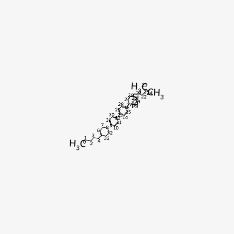 CCCCC[C@H]1CC[C@H](c2ccc(-c3ccc(C4CC[SiH](CCC(C)C)CC4)cc3)cc2)CC1